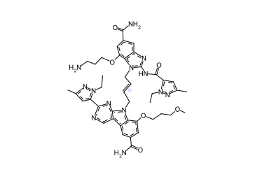 CCn1nc(C)cc1C(=O)Nc1nc2cc(C(N)=O)cc(OCCCN)c2n1C/C=C/Cn1c2nc(-c3cc(C)nn3CC)ncc2c2cc(C(N)=O)cc(OCCCOC)c21